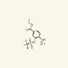 CCOC(=O)c1ccc(NO)c(OS(=O)(=O)C(F)(F)F)c1